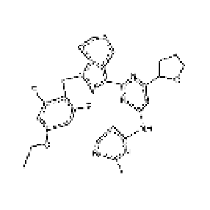 CCOc1cc(F)c(Cn2nc(-c3nc(Nc4ccnc(C)n4)cc(C4CCCO4)n3)c3ccccc32)c(F)c1